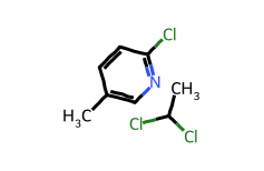 CC(Cl)Cl.Cc1ccc(Cl)nc1